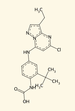 CCc1cnn2c(Nc3ccc(NC(=O)O)c(C(C)(C)C)c3)cc(Cl)nc12